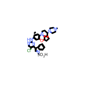 CC.CN1CCN(C2CCN(c3ccc(Nc4ncc(Cl)c(-c5cn(S(=O)(=O)O)c6ccccc56)n4)cc3OC3CCCC3)CC2)CC1